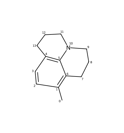 Cc1ccc2c3c1CCCN3CCC2